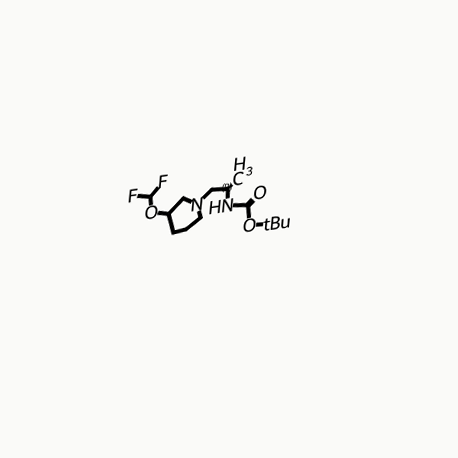 C[C@H](CN1CCCC(OC(F)F)C1)NC(=O)OC(C)(C)C